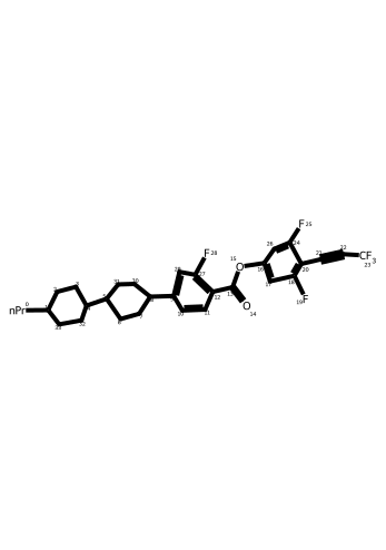 CCCC1CCC(C2CCC(c3ccc(C(=O)Oc4cc(F)c(C#CC(F)(F)F)c(F)c4)c(F)c3)CC2)CC1